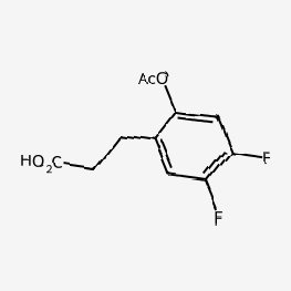 CC(=O)Oc1cc(F)c(F)cc1CCC(=O)O